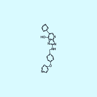 Oc1c(-c2ccccc2)cnc2nc(NCc3ccc(Oc4ccncc4)cc3)nn12